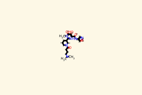 CN(C)CCCC(=O)N1CCCC(c2nc(C(=O)Nc3cnoc3)c(O)c(=O)n2C)C1